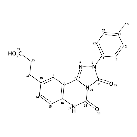 Cc1ccc(-n2nc3c4cc(CCC(=O)O)ccc4[nH]c(=O)n3c2=O)cc1